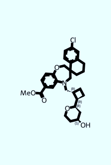 COC(=O)c1ccc2c(c1)N(C[C@@H]1CC[C@H]1[C@H]1C[C@@H](O)CCO1)CC1(CCCc3cc(Cl)ccc31)CO2